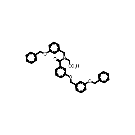 O=C(O)CN(Cc1cccc(OCc2ccccc2)c1)C(=O)c1cccc(OCc2cccc(OCc3ccccc3)c2)c1